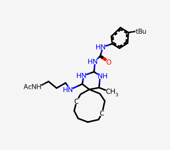 CC(=O)NCCCNC1NC(NC(=O)Nc2ccc(C(C)(C)C)cc2)NC(C)C12CCCCCCCCC2